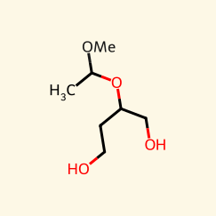 COC(C)OC(CO)CCO